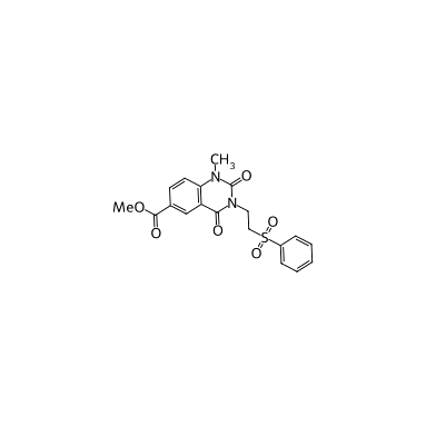 COC(=O)c1ccc2c(c1)c(=O)n(CCS(=O)(=O)c1ccccc1)c(=O)n2C